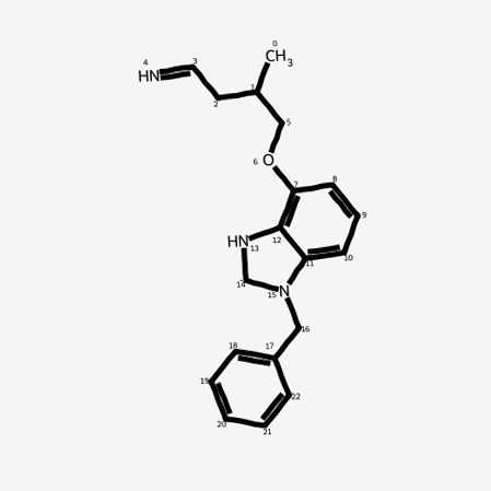 CC(CC=N)COc1cccc2c1N[CH]N2Cc1ccccc1